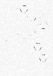 [2H]C1=C(SC([2H])([2H])c2cccc(F)c2F)N(CC(=O)N(C2CCN(CCOC([2H])([2H])[2H])CC2)C([2H])([2H])c2ccc(-c3ccc(C(F)(F)F)cc3)cc2)c2c([2H])c([2H])c(C)c([2H])c2C1O